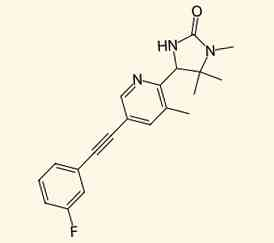 Cc1cc(C#Cc2cccc(F)c2)cnc1C1NC(=O)N(C)C1(C)C